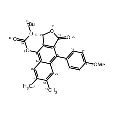 COc1ccc(-c2c3c(c(OC(=O)OC(C)(C)C)c4cc(C)c(C)cc24)COC3=O)cc1